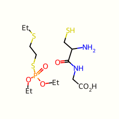 CCOP(=O)(OCC)SCCSCC.NC(CS)C(=O)NCC(=O)O